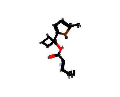 O=C(O)/C=C/C(=O)OC1(c2ccc(C(F)(F)F)s2)CCC1